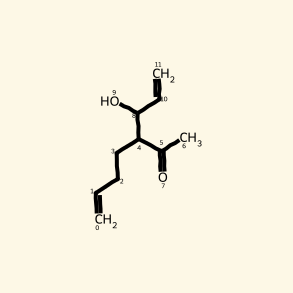 C=CCCC(C(C)=O)C(O)C=C